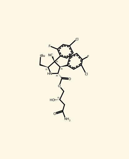 CC(C)(C)C[C@@H]1N[C@@H](C(=O)OC[C@@H](O)CC(N)=O)[C@H](c2ccc(F)c(Cl)c2)[C@@]1(C#N)c1ccc(Cl)cc1F